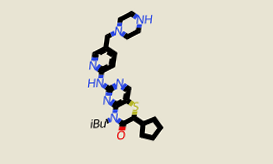 CCC(C)N1C(=O)C(C2CCCC2)Sc2cnc(Nc3ccc(CN4CCNCC4)cn3)nc21